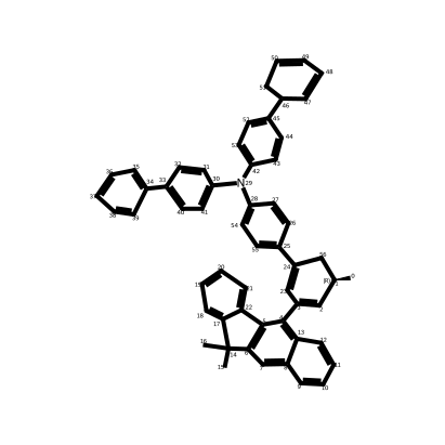 C[C@H]1C=C(c2c3c(cc4ccccc24)C(C)(C)c2ccccc2-3)C=C(c2ccc(N(c3ccc(-c4ccccc4)cc3)c3ccc(C4C=CC=CC4)cc3)cc2)C1